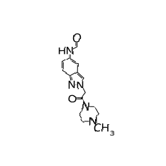 CN1CCN(C(=O)Cn2cc3cc(NC=O)ccc3n2)CC1